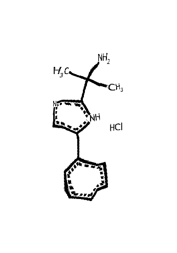 CC(C)(N)c1ncc(-c2ccccc2)[nH]1.Cl